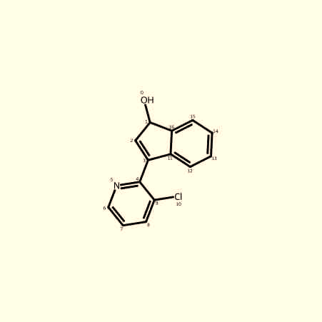 OC1C=C(c2ncccc2Cl)c2ccccc21